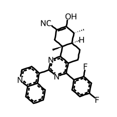 C[C@H]1C(O)=C(C#N)C[C@@]2(C)c3nc(-c4ccnc5ccccc45)nc(-c4ccc(F)cc4F)c3CC[C@H]12